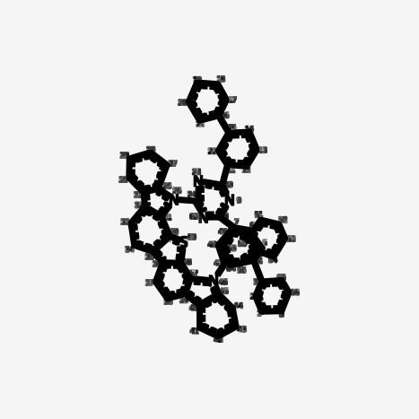 c1ccc(-c2ccc(-c3nc(-c4cccc(-c5ccccc5)c4)nc(-n4c5ccccc5c5ccc6c7ccc8c9ccccc9n(-c9ccc%10ccccc%10c9)c8c7sc6c54)n3)cc2)cc1